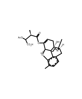 CC(=O)OC(C(=O)O)[C@@H](C)C(=O)OC1=CC[C@@]2(O)[C@H]3Cc4ccc(C)c5c4[C@@]2(CCN3C)[C@H]1O5